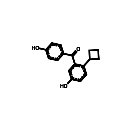 O=C(c1ccc(O)cc1)c1cc(O)ccc1C1CCC1